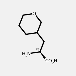 N[C@@H](CC1CCCOC1)C(=O)O